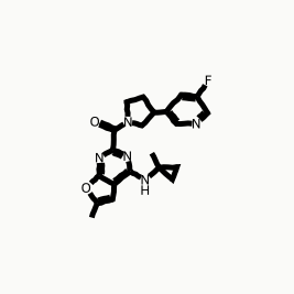 Cc1cc2c(NC3(C)CC3)nc(C(=O)N3CCC(c4cncc(F)c4)C3)nc2o1